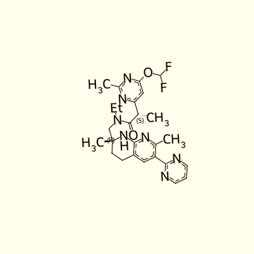 CCN(C[C@@]1(C)CCc2cc(-c3ncccn3)c(C)nc2N1)C(=O)[C@@H](C)c1cc(OC(F)F)nc(C)n1